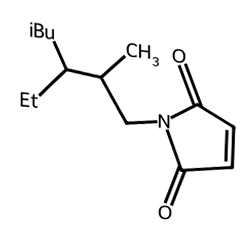 CCC(C)C(CC)C(C)CN1C(=O)C=CC1=O